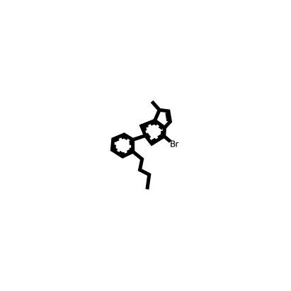 CCCCc1ccccc1-c1cc(Br)c2c(c1)C(C)C=C2